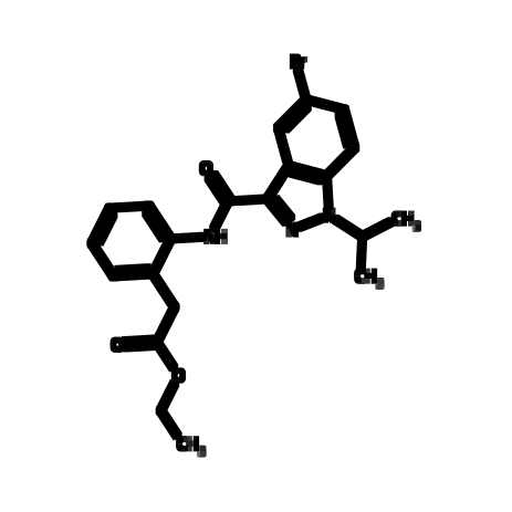 CCOC(=O)Cc1ccccc1NC(=O)c1nn(C(C)C)c2ccc(Br)cc12